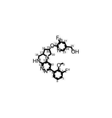 COc1c(F)cccc1-c1cc2c(nn1)NCC1C[C@@H](Oc3ncc(CO)cc3F)CN21